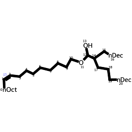 CCCCCCCC/C=C\CCCCCCCCOC(O)C(CCCCCCCCCCC)CCCCCCCCCCCCC